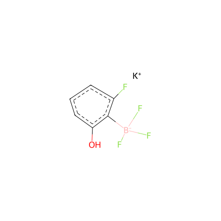 Oc1cccc(F)c1[B-](F)(F)F.[K+]